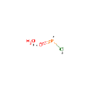 O.O=PCl